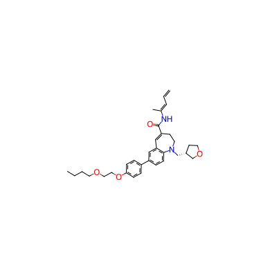 C=C/C=C(\C)NC(=O)C1=Cc2cc(-c3ccc(OCCOCCCC)cc3)ccc2N(C[C@@H]2CCOC2)CC1